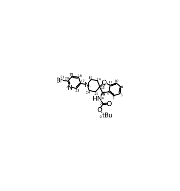 CC(C)(C)OC(=O)N[C@@H]1c2ccccc2OC12CCN(c1ccc(Br)nc1)CC2